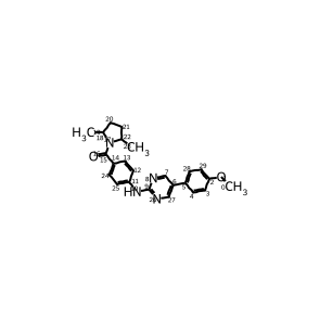 COc1ccc(-c2cnc(Nc3ccc(C(=O)N4C(C)CCC4C)cc3)nc2)cc1